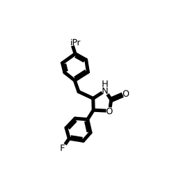 CC(C)c1ccc(CC2NC(=O)OC2c2ccc(F)cc2)cc1